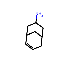 NC1CC2C=CCC(C1)C2